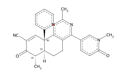 Cc1nc(-c2ccc(=O)n(C)c2)c2c(n1)[C@@]1(c3ccccc3)C=C(C#N)C(=O)[C@@H](C)[C@@H]1CC2